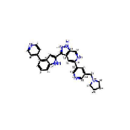 c1cc(-c2ccncc2)c2cc(-c3n[nH]c4cnc(-c5cncc(CN6CCCC6)c5)cc34)[nH]c2c1